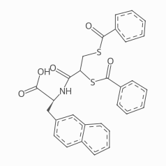 O=C(SCC(SC(=O)c1ccccc1)C(=O)N[C@@H](Cc1ccc2ccccc2c1)C(=O)O)c1ccccc1